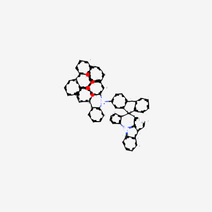 c1ccc(-c2cccc(-c3ccccc3N(c3ccc4c(c3)C3(c5ccccc5-4)c4ccccc4-n4c5ccccc5c5cccc3c54)c3ccc4c5ccccc5c5ccccc5c4c3)c2)cc1